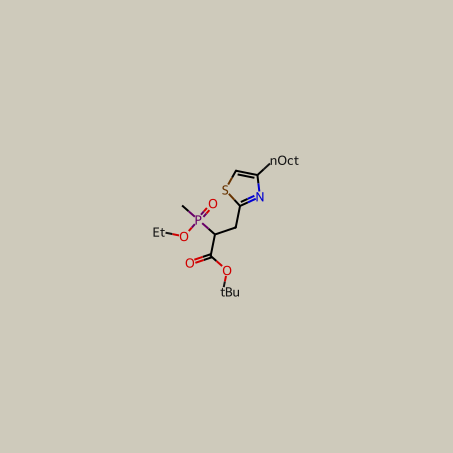 CCCCCCCCc1csc(CC(C(=O)OC(C)(C)C)P(C)(=O)OCC)n1